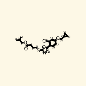 CC(C)COC(=O)CCCSc1nnc(-c2ccc(OCC3CC3)cc2Cl)o1